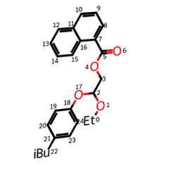 CCOC(COC(=O)c1cccc2ccccc12)Oc1ccc(C(C)CC)cc1